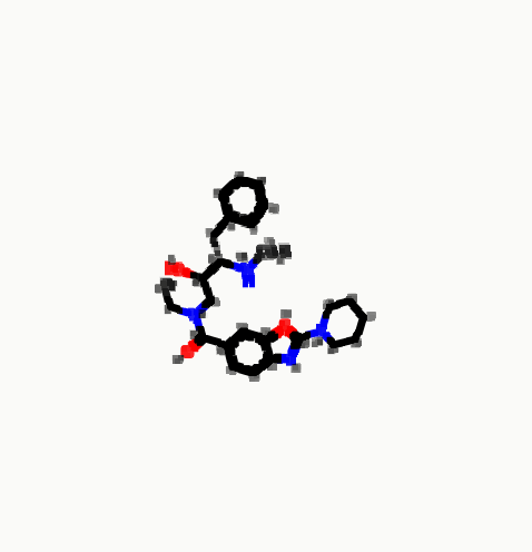 CC(C)CN(C[C@@H](O)[C@H](Cc1ccccc1)NC(=O)O)C(=O)c1ccc2nc(N3CCCCC3)oc2c1